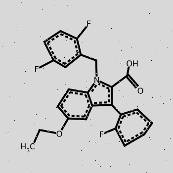 CCOc1ccc2c(c1)c(-c1ccccc1F)c(C(=O)O)n2Cc1cc(F)ccc1F